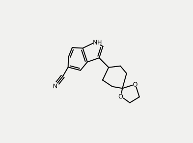 N#Cc1ccc2[nH]cc(C3CCC4(CC3)OCCO4)c2c1